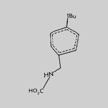 CC(C)(C)c1ccc(CNC(=O)O)cc1